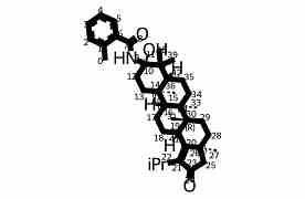 Cc1ccccc1C(=O)N[C@]1(O)CC[C@]2(C)[C@H]3CC[C@@H]4C5=C(C(C)C)C(=O)C[C@]5(C)CC[C@@]4(C)[C@]3(C)CC[C@H]2C1(C)C